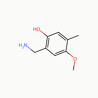 COc1cc(CN)c(O)cc1C